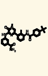 Cc1c([AsH]C(=O)c2ccc(C(C)(C)C)cc2)cccc1-c1cn(C)c(=O)c(Nc2cccc(C(N)=O)c2)n1